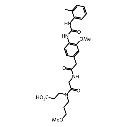 COCCCN(CCC(=O)O)C(=O)CNC(=O)Cc1ccc(NC(=O)Nc2ccccc2C)c(OC)c1